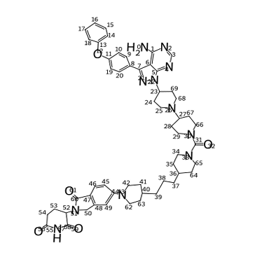 Nc1ncnc2c1c(-c1ccc(Oc3ccccc3)cc1)nn2C1CCN(C2CCN(C(=O)N3CCC(CCCC4CCN(c5ccc6c(c5)CN(C5CCC(=O)NC5=O)C6=O)CC4)CC3)CC2)CC1